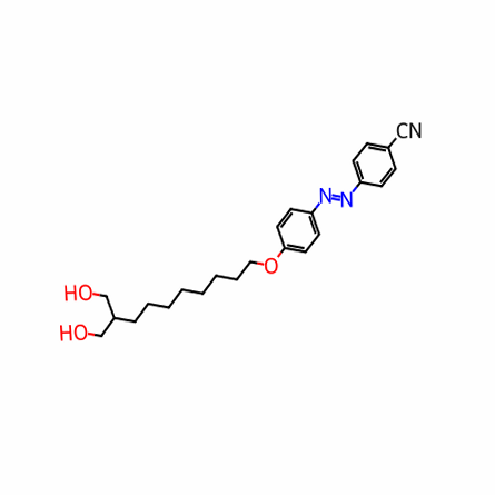 N#Cc1ccc(/N=N/c2ccc(OCCCCCCCCC(CO)CO)cc2)cc1